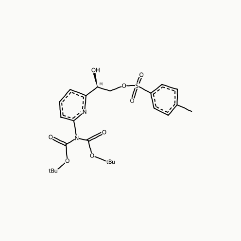 Cc1ccc(S(=O)(=O)OC[C@H](O)c2cccc(N(C(=O)OC(C)(C)C)C(=O)OC(C)(C)C)n2)cc1